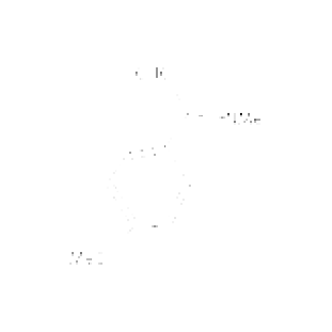 CNC(C=O)c1ccc(OC)cc1